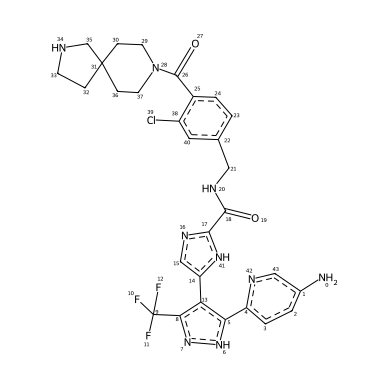 Nc1ccc(-c2[nH]nc(C(F)(F)F)c2-c2cnc(C(=O)NCc3ccc(C(=O)N4CCC5(CCNC5)CC4)c(Cl)c3)[nH]2)nc1